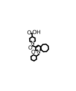 O=C(O)C1CCN(C(=O)c2cc3c(n(CC4CCCCC4)c2=O)CCCCCC3)CC1